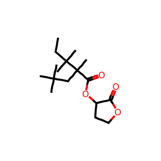 CCC(C)(C)C(C)(CC(C)(C)C)C(=O)OC1CCOC1=O